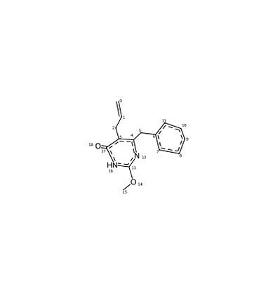 C=CCc1c(Cc2ccccc2)nc(OC)[nH]c1=O